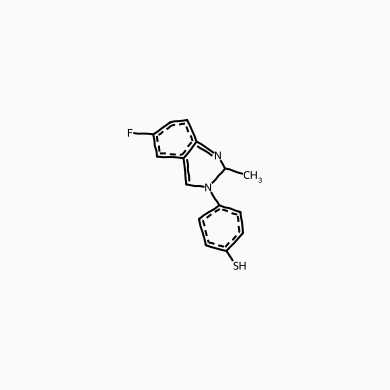 CC1N=c2ccc(F)cc2=CN1c1ccc(S)cc1